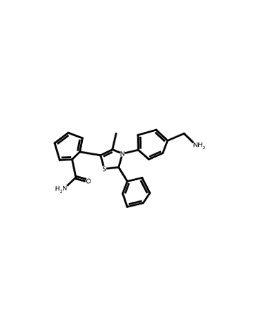 CC1=C(c2ccccc2C(N)=O)SC(c2ccccc2)N1c1ccc(CN)cc1